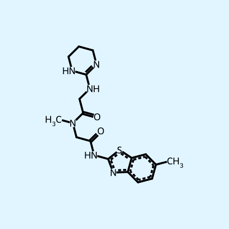 Cc1ccc2nc(NC(=O)CN(C)C(=O)CNC3=NCCCN3)sc2c1